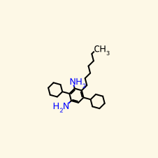 CCCCCCCc1c(C2CCCCC2)cc(N)c(C2CCCCC2)c1N